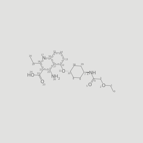 CCOCC(=O)N[C@H]1CC[C@H](Oc2cccc3nc(CC)c(C(=O)O)c(N)c23)CC1